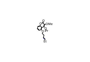 CC/C=C/CCOc1cccc2oc(=O)c(OC)c(OC(C)C)c12